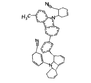 Cc1ccc2c(c1)c1cc(-c3cccc(C4C=CC=C5C6C=CCCC6N(C6=CC(C#N)CC=C6)C54)c3)ccc1n2C1CC=CCC1C#N